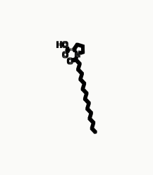 CCCCCCCCCCCCCCCC(=O)N1CCC[C@H]1C(=O)O